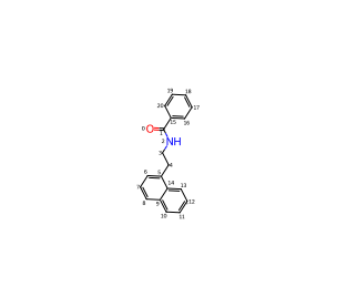 O=C(NCCc1cccc2cc[c]cc12)c1ccccc1